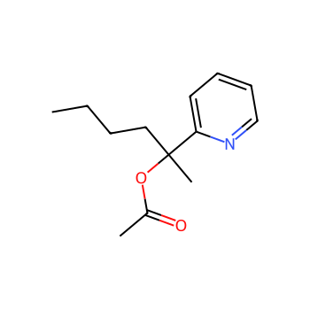 CCCCC(C)(OC(C)=O)c1ccccn1